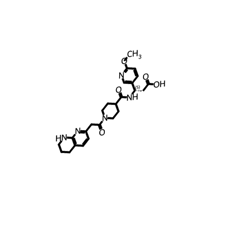 COc1ccc([C@H](CC(=O)O)NC(=O)C2CCN(C(=O)Cc3ccc4c(n3)NCCC4)CC2)cn1